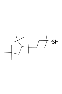 CC(C)(C)CC(C(C)(C)C)C(C)(C)CCC(C)(C)S